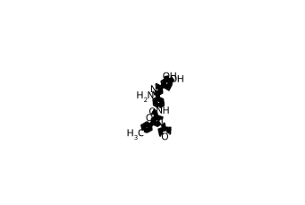 Cc1ccc(-c2cn(CC3CCOCC3)cc(C(=O)Nc3ccc(-c4cc(-c5ccc(O)c(O)c5)cnc4N)cc3)c2=O)cc1